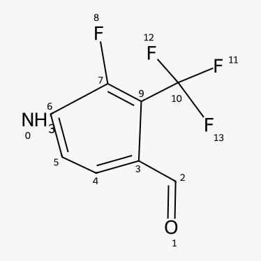 N.O=Cc1cccc(F)c1C(F)(F)F